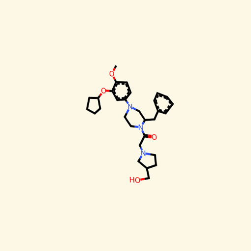 COc1ccc(N2CCN(C(=O)CN3CCC(CO)C3)C(Cc3ccccc3)C2)cc1OC1CCCC1